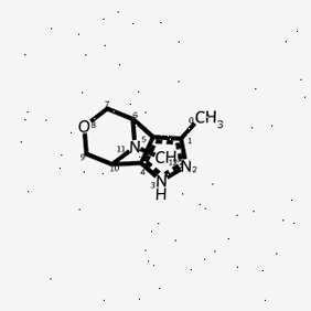 Cc1n[nH]c2c1C1COCC2N1C